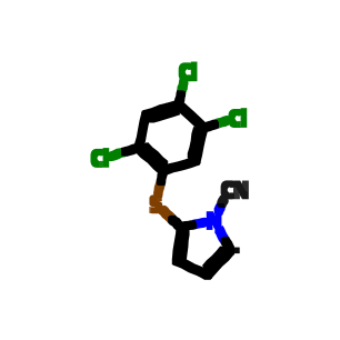 N#Cn1[c]ccc1Sc1cc(Cl)c(Cl)cc1Cl